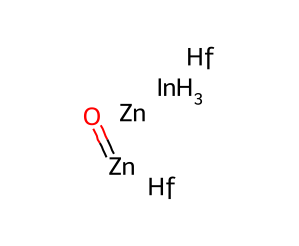 [Hf].[Hf].[InH3].[O]=[Zn].[Zn]